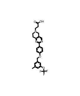 Cc1cc(COc2ccc(-c3ncc4c(n3)CCN(CCC(=O)O)C4)cc2)cc(OC(F)(F)F)c1